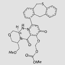 COCC1COC[C@H]2Nn3c(-c4cccc5c4Cc4ccccc4SC5)cc(=O)c(OCOC(=O)OC)c3C(=O)N12